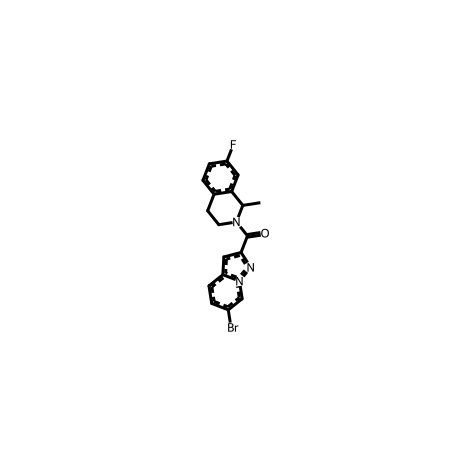 CC1c2cc(F)ccc2CCN1C(=O)c1cc2ccc(Br)cn2n1